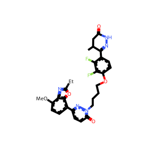 CCc1nc2c(OC)ccc(-c3ccc(=O)n(CCCCOc4ccc(C5=NNC(=O)CC5C)c(F)c4F)n3)c2o1